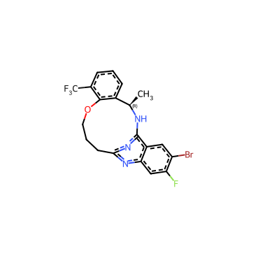 C[C@H]1Nc2nc(nc3cc(F)c(Br)cc23)CCCOc2c1cccc2C(F)(F)F